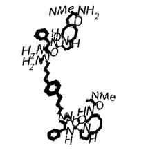 CN[C@@H](C)C(=O)N[C@H]1CCCC[C@H]2CC[C@@H](C(=O)N[C@@H](c3ccccc3)c3cn(CCCCc4ccc(CCCCN(N)/C=C(\N)[C@@H](NC(=O)[C@@H]5CC[C@@H]6CCCC(C[C@H](NC)C(N)=O)CC(=O)N65)c5ccccc5)cc4)nn3)N2C1=O